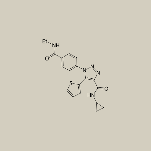 CCNC(=O)c1ccc(-n2nnc(C(=O)NC3CC3)c2-c2cccs2)cc1